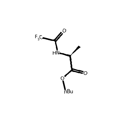 CCCCOC(=O)[C@H](C)NC(=O)C(F)(F)F